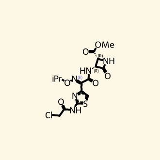 COC(=O)[C@@H]1NC(=O)[C@@H]1NC(=O)/C(=N/OC(C)C)c1csc(NC(=O)CCl)n1